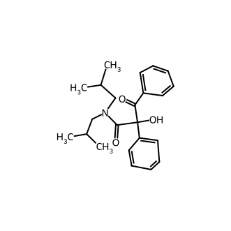 CC(C)CN(CC(C)C)C(=O)C(O)(C(=O)c1ccccc1)c1ccccc1